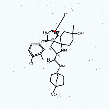 CC1(O)CCC2(CC1)N[C@@H](C(O)NC13CCC(C(=O)O)(CC1)CC3)[C@H](c1cccc(Cl)c1F)[C@]21C(=O)Nc2cc(Cl)ccc21